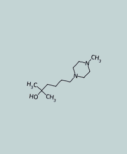 CN1CCN(CCCCC(C)(C)O)CC1